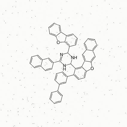 c1ccc(-c2cccc(-c3ccc4oc5cc6ccccc6cc5c4c3C3NC(c4ccc5ccccc5c4)=NC(c4cccc5c4oc4ccccc45)N3)c2)cc1